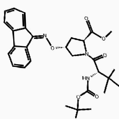 COC(=O)[C@@H]1C[C@@H](ON=C2c3ccccc3-c3ccccc32)CN1C(=O)[C@@H](NC(=O)OC(C)(C)C)C(C)(C)C